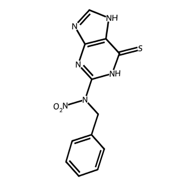 O=[N+]([O-])N(Cc1ccccc1)c1nc2nc[nH]c2c(=S)[nH]1